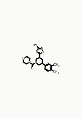 Cc1ccc(C2CC(c3nc(C(C)C)no3)CN(C(=O)N3CCOCC3)C2)cc1C